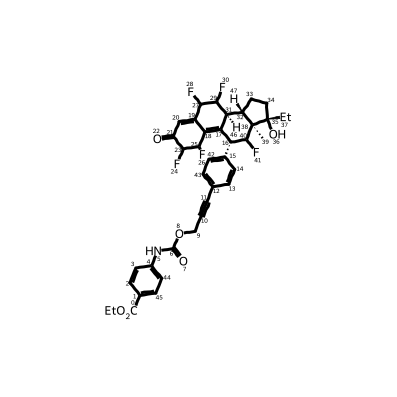 CCOC(=O)c1ccc(NC(=O)OCC#Cc2ccc([C@@H]3C4=C5C(=CC(=O)C(F)C5F)C(F)C(F)[C@H]4[C@@H]4CC[C@@](O)(CC)[C@@]4(C)C3F)cc2)cc1